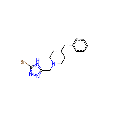 Brc1nnc(CN2CCC(Cc3ccccc3)CC2)[nH]1